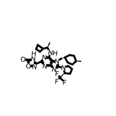 C[C@@H](Nc1nc(-c2noc(=O)[nH]2)nc2nc(N3CCC[C@H]3C(F)(F)F)n(C[C@H]3CC[C@H](C)CC3)c12)C1CCC1